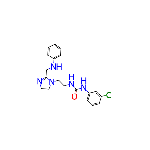 O=C(NCCN1CCN=C1CNc1ccccc1)Nc1cccc(Cl)c1